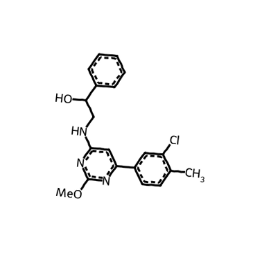 COc1nc(NCC(O)c2ccccc2)cc(-c2ccc(C)c(Cl)c2)n1